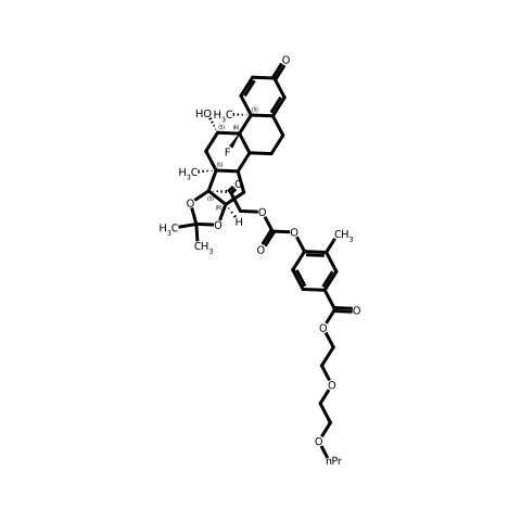 CCCOCCOCCOC(=O)c1ccc(OC(=O)OCC(=O)[C@@]23OC(C)(C)O[C@@H]2CC2C4CCC5=CC(=O)C=C[C@]5(C)[C@@]4(F)[C@@H](O)C[C@@]23C)c(C)c1